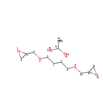 C(CCOCC1CO1)COCC1CO1.CCCC(O)O